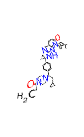 C=CC(=O)N1CCN(C(CC2CC2)c2ccc(C3(Nc4ncc5ccc(=O)n(C(C)C)c5n4)CC3)cc2)CC1